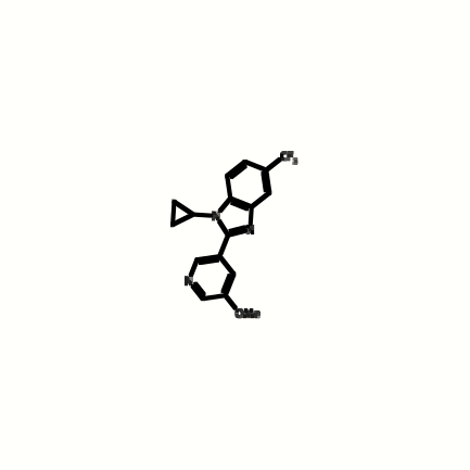 COc1cncc(-c2nc3cc(C(F)(F)F)ccc3n2C2CC2)c1